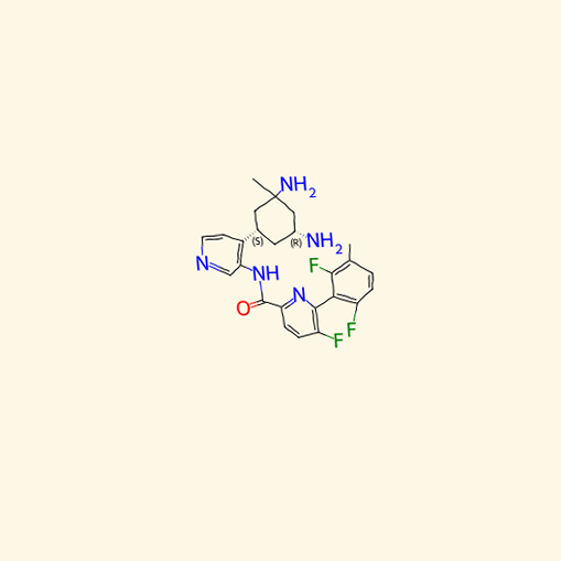 Cc1ccc(F)c(-c2nc(C(=O)Nc3cnccc3[C@H]3C[C@@H](N)CC(C)(N)C3)ccc2F)c1F